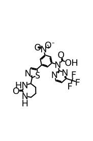 O=C1NCCCC(c2ncc(-c3cc(N(C(=O)O)c4nccc(C(F)(F)F)n4)cc([N+](=O)[O-])c3)s2)N1